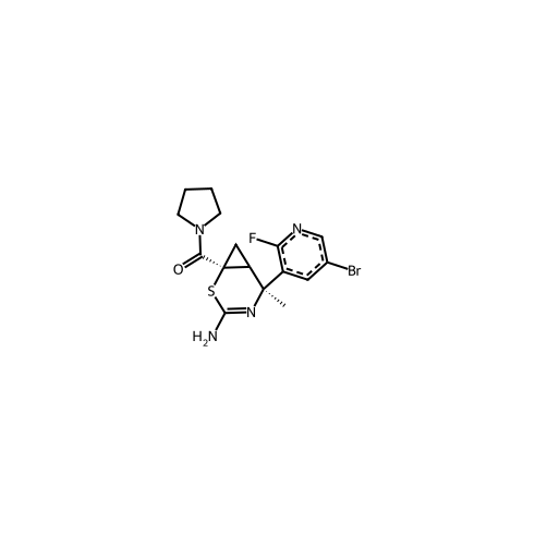 C[C@]1(c2cc(Br)cnc2F)N=C(N)S[C@@]2(C(=O)N3CCCC3)CC21